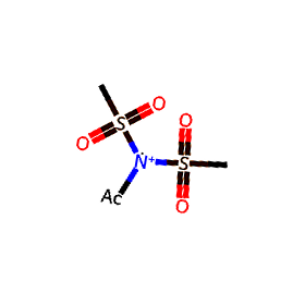 CC(=O)[N+](S(C)(=O)=O)S(C)(=O)=O